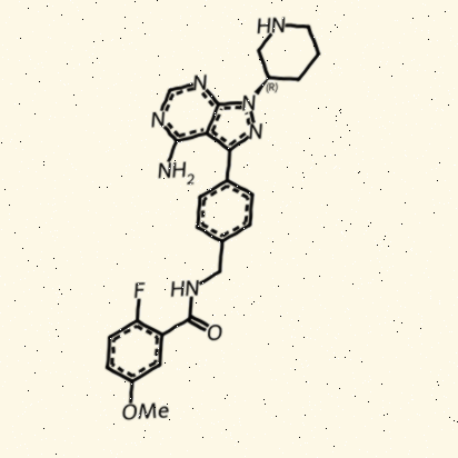 COc1ccc(F)c(C(=O)NCc2ccc(-c3nn([C@@H]4CCCNC4)c4ncnc(N)c34)cc2)c1